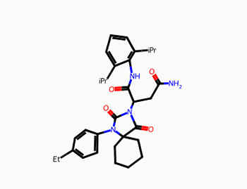 CCc1ccc(N2C(=O)N(C(CC(N)=O)C(=O)Nc3c(C(C)C)cccc3C(C)C)C(=O)C23CCCCC3)cc1